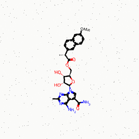 COc1ccc2cc([C@@H](C)C(=O)OC[C@H]3O[C@@H](n4cc(C(N)=O)c5c(N)nc(C)nc54)[C@H](O)[C@@H]3O)ccc2c1